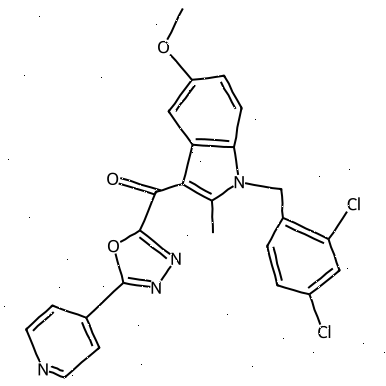 COc1ccc2c(c1)c(C(=O)c1nnc(-c3ccncc3)o1)c(C)n2Cc1ccc(Cl)cc1Cl